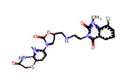 Cn1c(=O)n(CCNCC2CN(c3ccc4c(n3)NC(=O)CS4)C(=O)O2)c(=O)c2cccc(Cl)c21